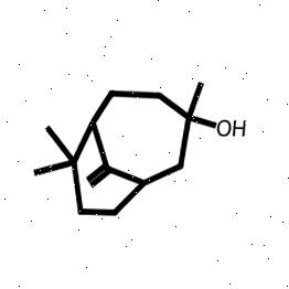 C=C1C2CCC(C)(C)C1CCC(C)(O)C2